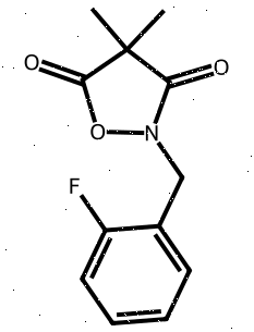 CC1(C)C(=O)ON(Cc2ccccc2F)C1=O